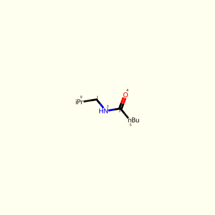 [CH2]C(C)CNC(=O)CCCC